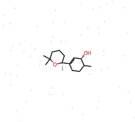 CC1CCC([C@]2(C)CCCC(C)(C)O2)=C[C@H]1O